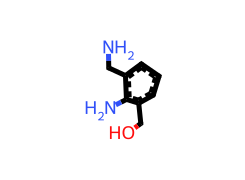 NCc1cccc(CO)c1N